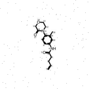 C=CCCC(=O)Nc1ccc(N2CCOCC2=O)c(C)c1